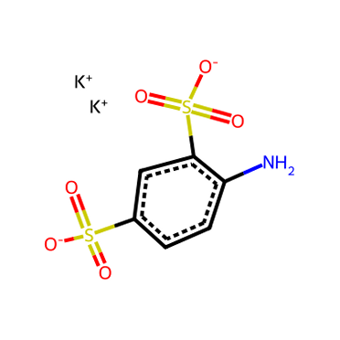 Nc1ccc(S(=O)(=O)[O-])cc1S(=O)(=O)[O-].[K+].[K+]